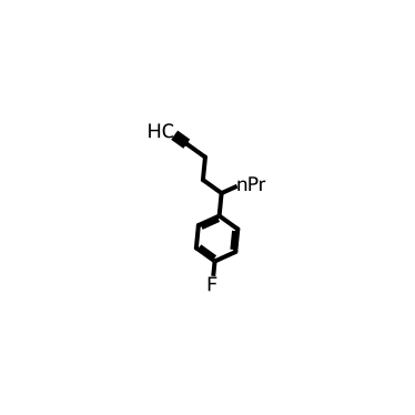 C#CCCC(CCC)c1ccc(F)cc1